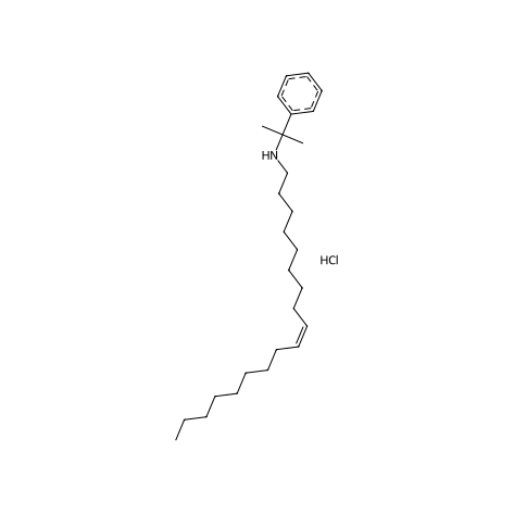 CCCCCCCC/C=C\CCCCCCCCNC(C)(C)c1ccccc1.Cl